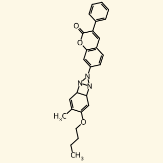 CCCCOC1=CC2C(C=C1C)n1n(-c3ccc4cc(-c5ccccc5)c(=O)oc4c3)n12